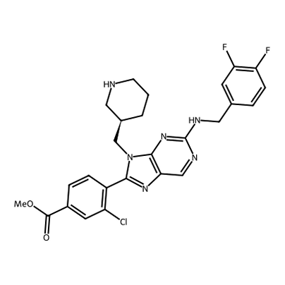 COC(=O)c1ccc(-c2nc3cnc(NCc4ccc(F)c(F)c4)nc3n2C[C@@H]2CCCNC2)c(Cl)c1